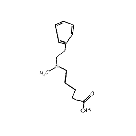 CN(CCCCC(=O)O)CCc1ccccc1